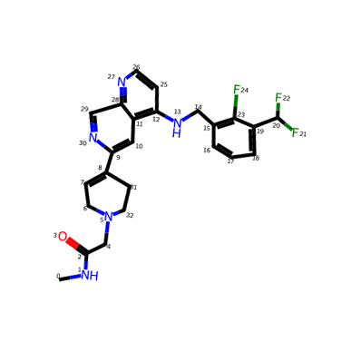 CNC(=O)CN1CC=C(c2cc3c(NCc4cccc(C(F)F)c4F)ccnc3cn2)CC1